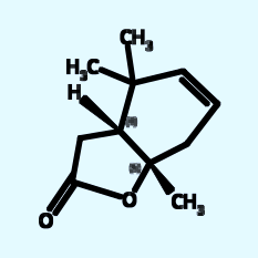 CC1(C)C=CC[C@]2(C)OC(=O)C[C@H]12